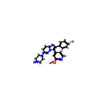 COc1cc(-c2c(-c3ccc(F)cc3)nc3ccc(N4CCNCC4)nn23)ccn1